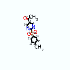 CC(=O)c1cnc(S(=O)(=O)c2ccc(C)cc2)nc1